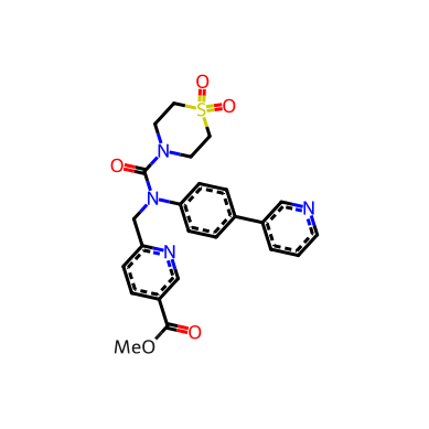 COC(=O)c1ccc(CN(C(=O)N2CCS(=O)(=O)CC2)c2ccc(-c3cccnc3)cc2)nc1